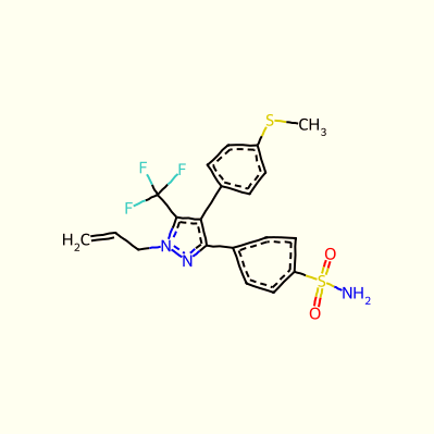 C=CCn1nc(-c2ccc(S(N)(=O)=O)cc2)c(-c2ccc(SC)cc2)c1C(F)(F)F